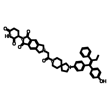 CCC(=C(c1ccc(O)cc1)c1ccc(N2CCC3(CCN(C(=O)CN4Cc5cc6c(cc5C4)C(=O)N(C4CCC(=O)NC4=O)C6=O)CC3)C2)cc1)c1ccccc1